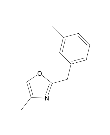 Cc1cccc(Cc2nc(C)co2)c1